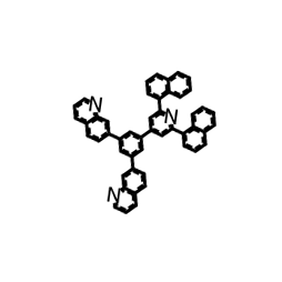 c1cnc2cc(-c3cc(-c4cc(-c5cccc6ccccc56)nc(-c5cccc6ccccc56)c4)cc(-c4ccc5cccnc5c4)c3)ccc2c1